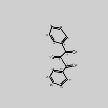 O=C(C(=S)C(=O)c1ccccc1)c1ccccc1